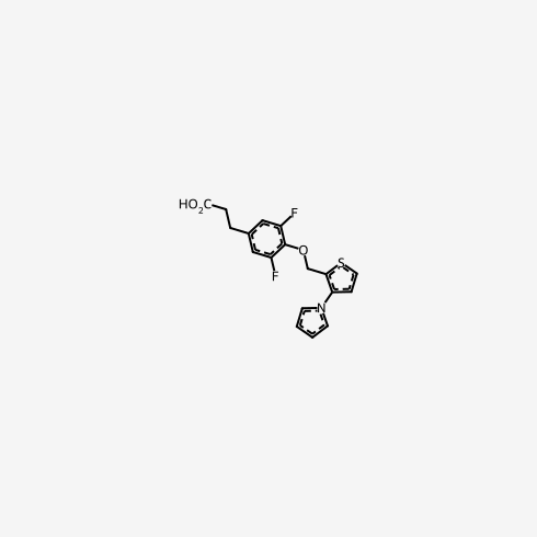 O=C(O)CCc1cc(F)c(OCc2sccc2-n2cccc2)c(F)c1